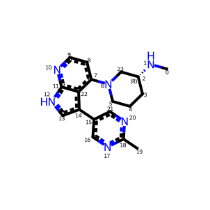 CN[C@@H]1CCCN(c2ccnc3[nH]cc(-c4cnc(C)nc4)c23)C1